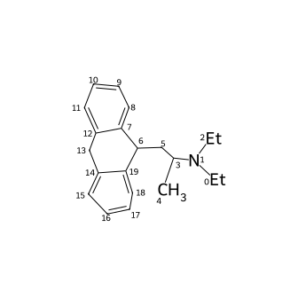 CCN(CC)C(C)CC1c2ccccc2Cc2ccccc21